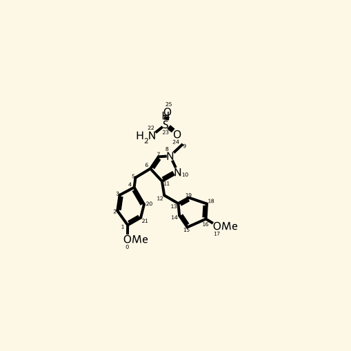 COc1ccc(Cc2cn(C)nc2Cc2ccc(OC)cc2)cc1.N[SH](=O)=O